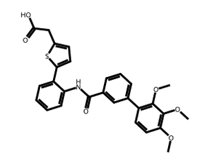 COc1ccc(-c2cccc(C(=O)Nc3ccccc3-c3ccc(CC(=O)O)s3)c2)c(OC)c1OC